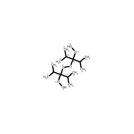 CC(C)C(OO)(OOC(OO)(C(C)C)C(C)C)C(C)C